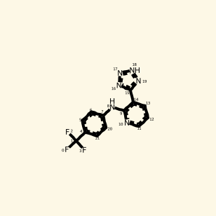 FC(F)(F)c1ccc(Nc2ncccc2-c2nn[nH]n2)cc1